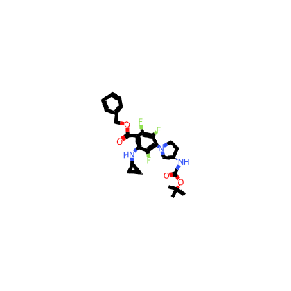 CC(C)(C)OC(=O)N[C@H]1CCN(c2c(F)c(F)c(C(=O)OCc3ccccc3)c(NC3CC3)c2F)C1